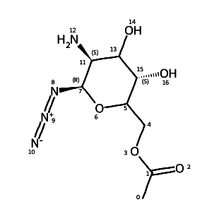 CC(=O)OCC1O[C@@H](N=[N+]=[N-])[C@@H](N)C(O)[C@@H]1O